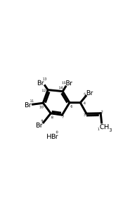 Br.CC=CC(Br)c1cc(Br)c(Br)c(Br)c1Br